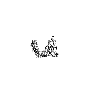 O=C(Nc1ccc(F)cc1)N(c1ccc(F)cc1)C1CCN(Cc2ccn(-c3ccc(C(F)(F)F)cn3)c2)CC1